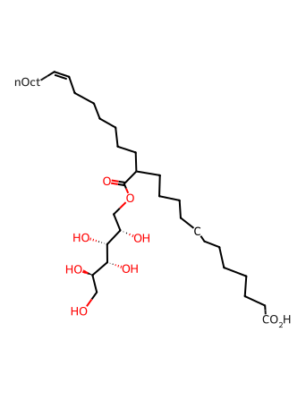 CCCCCCCC/C=C\CCCCCCC(CCCCCCCCCCCC(=O)O)C(=O)OC[C@H](O)[C@@H](O)[C@H](O)[C@H](O)CO